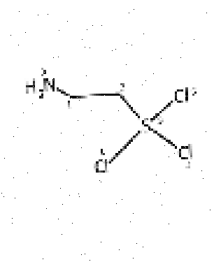 NCCS(Cl)(Cl)Cl